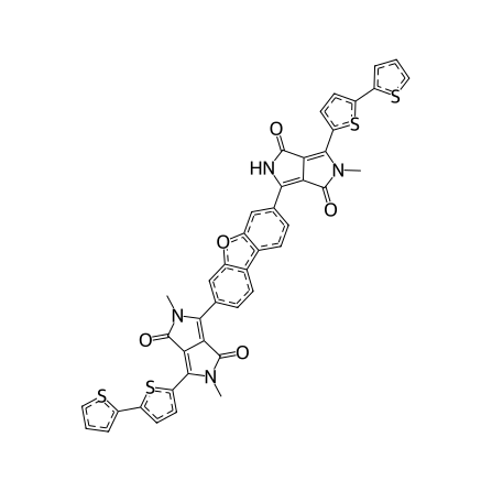 CN1C(=O)C2=C(c3ccc(-c4cccs4)s3)N(C)C(=O)C2=C1c1ccc2c(c1)oc1cc(C3=C4C(=O)N(C)C(c5ccc(-c6cccs6)s5)=C4C(=O)N3)ccc12